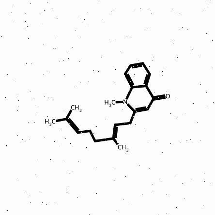 CC(C)=CCC/C(C)=C/Cc1cc(=O)c2ccccc2n1C